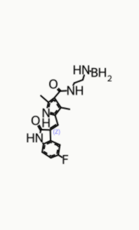 BNCCNC(=O)c1c(C)[nH]c(/C=C2\C(=O)Nc3ccc(F)cc32)c1C